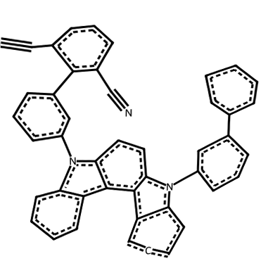 N#Cc1cccc(C#N)c1-c1cccc(-n2c3ccccc3c3c4c5ccccc5n(-c5cccc(-c6ccccc6)c5)c4ccc32)c1